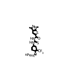 CCCCCOc1ccc(NC(=S)NC(=O)c2cc3c(C)nn(C)c3s2)cc1C(F)(F)F